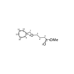 COC(=O)CCCOCc1ccccc1